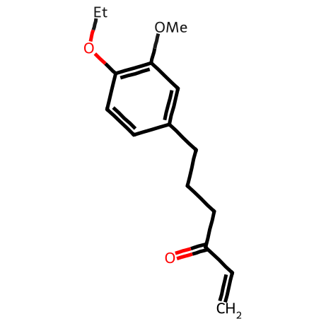 C=CC(=O)CCCc1ccc(OCC)c(OC)c1